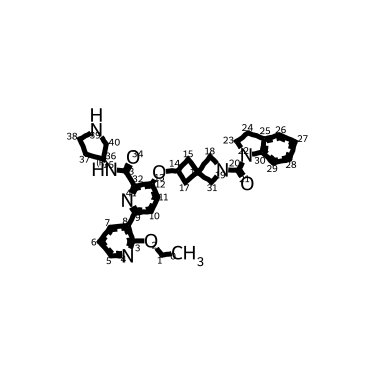 CCOc1ncccc1-c1ccc(OC2CC3(C2)CN(C(=O)N2CCc4ccccc42)C3)c(C(=O)N[C@@H]2CCNC2)n1